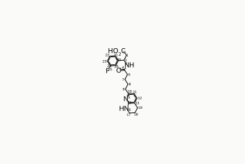 O=C(O)CC(NC(=O)CCCCc1ccc2c(n1)NCCC2)c1cccc(F)c1